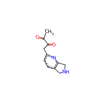 CC(=O)C(=O)Cc1ccc2c(n1)CNC2